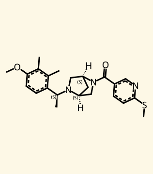 COc1ccc([C@H](C)N2C[C@@H]3C[C@H]2CN3C(=O)c2ccc(SC)nc2)c(C)c1C